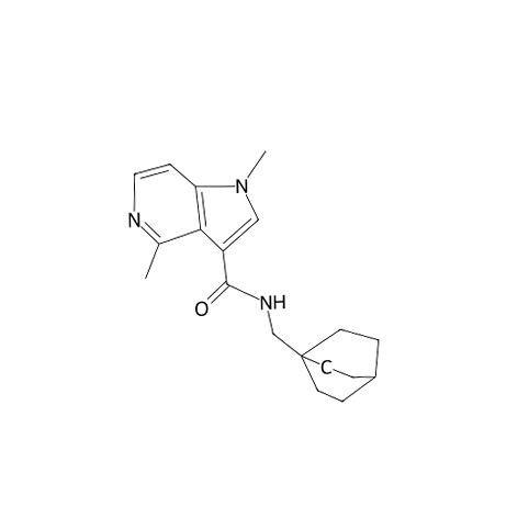 Cc1nccc2c1c(C(=O)NCC13CCC(CC1)CC3)cn2C